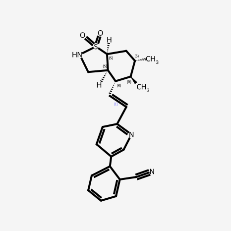 C[C@H]1[C@H](/C=C/c2ccc(-c3ccccc3C#N)cn2)[C@H]2CNS(=O)(=O)[C@H]2C[C@@H]1C